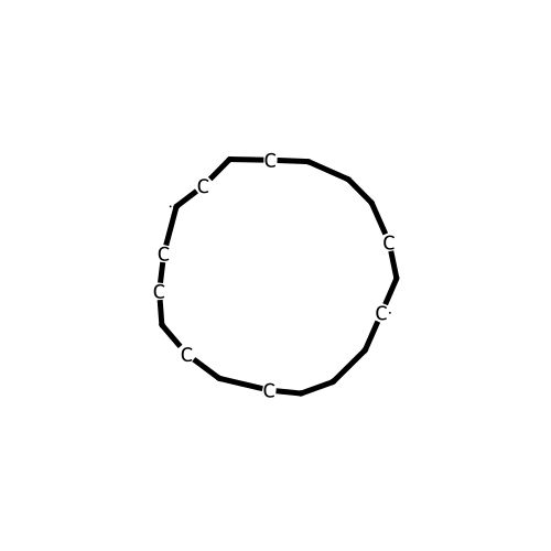 [CH]1CCCCCCCC[CH]CCCCCCCCC1